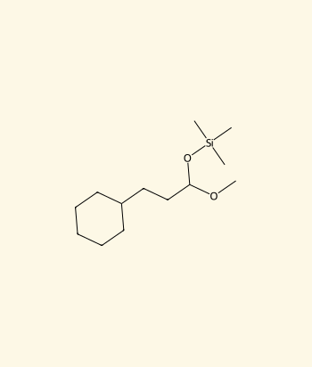 COC(CCC1CCCCC1)O[Si](C)(C)C